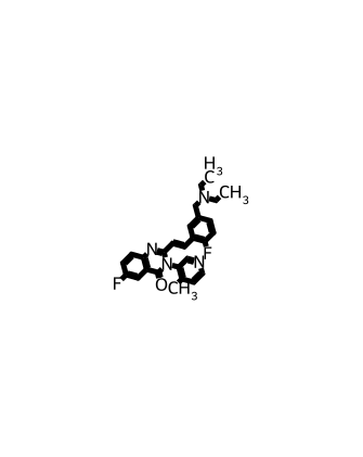 CCN(CC)Cc1ccc(F)c(C=Cc2nc3ccc(F)cc3c(=O)n2-c2cnccc2C)c1